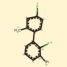 Cc1cc(F)ccc1-c1cccc(C(C)C)c1F